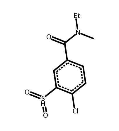 CCN(C)C(=O)c1ccc(Cl)c([SH](=O)=O)c1